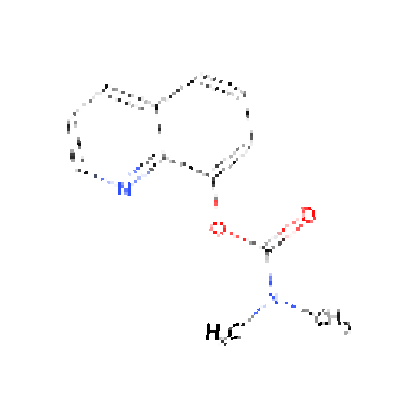 CN(C)C(=O)Oc1cccc2cccnc12